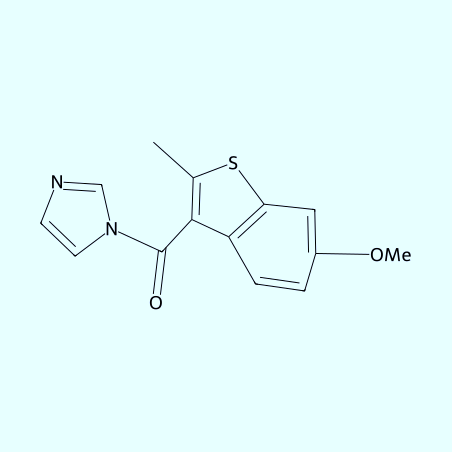 COc1ccc2c(C(=O)n3ccnc3)c(C)sc2c1